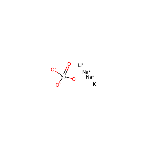 [K+].[Li+].[Na+].[Na+].[O]=[Sb]([O-])([O-])[O-]